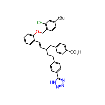 CC(C)(C)c1ccc(COc2ccccc2/C=C/C(CCc2ccc(-c3nnn[nH]3)cc2)Cc2ccc(C(=O)O)cc2)c(Cl)c1